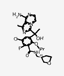 Cc1nc(C(C)(O)c2cc(Cl)c(F)c(C(=O)NC[C@H]3CCOC3)c2OC(C)C)n2ccnc(N)c12